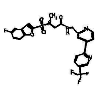 CN(CC(=O)NCc1cc(-c2ccc(C(F)(F)F)cn2)ccn1)S(=O)(=O)c1cc2cc(F)ccc2o1